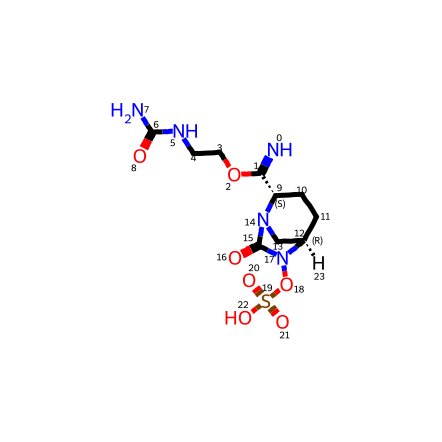 N=C(OCCNC(N)=O)[C@@H]1CC[C@@H]2CN1C(=O)N2OS(=O)(=O)O